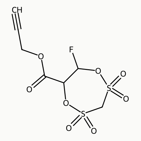 C#CCOC(=O)C1OS(=O)(=O)CS(=O)(=O)OC1F